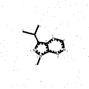 CC(C)c1nn(C)c2nncnc12